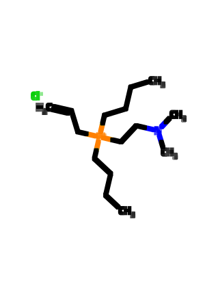 C=CC[P+](CCCC)(CCCC)CCN(C)C.[Cl-]